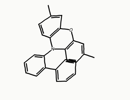 Cc1ccc2c(c1)Oc1cc(C)ccc1N2c1ccccc1-c1ccccc1